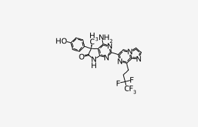 C[C@]1(c2ccc(O)cc2)C(=O)Nc2nc(-c3cn4ccnc4c(CCC(F)(F)C(F)(F)F)n3)nc(N)c21